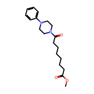 COC(=O)CCCCCCC(=O)N1CCN(c2ccccc2)CC1